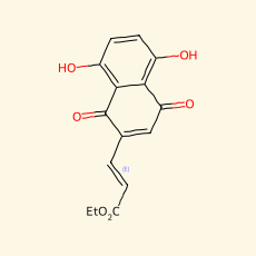 CCOC(=O)/C=C/C1=CC(=O)c2c(O)ccc(O)c2C1=O